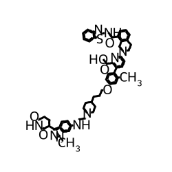 Cc1cc(OCCCC2CCN(CCNc3ccc4c(C5CCC(=O)NC5=O)nn(C)c4c3)CC2)ccc1-c1ccc(N2CCc3cccc(C(=O)Nc4nc5ccccc5s4)c3C2)nc1C(=O)O